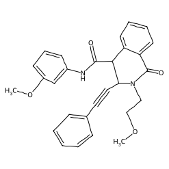 COCCN1C(=O)c2ccccc2C(C(=O)Nc2cccc(OC)c2)C1C#Cc1ccccc1